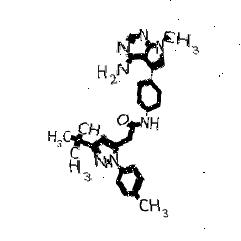 Cc1ccc(-n2nc(C(C)(C)C)cc2CC(=O)N[C@H]2CC[C@@H](c3cn(C)c4ncnc(N)c43)CC2)cc1